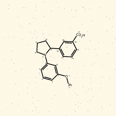 CC(C)Oc1cccc(N2CCCC2c2cccc(C(=O)O)c2)c1